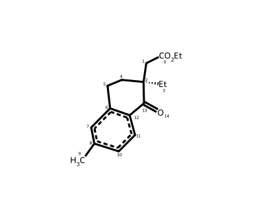 CCOC(=O)C[C@]1(CC)CCc2cc(C)ccc2C1=O